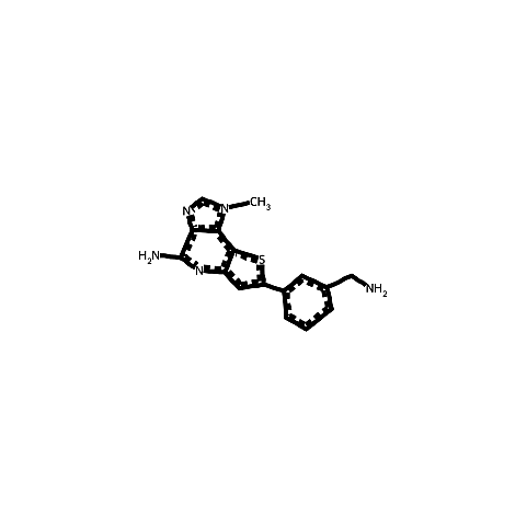 Cn1cnc2c(N)nc3cc(-c4cccc(CN)c4)sc3c21